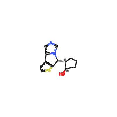 O[C@@H]1CCC[C@H]1C1c2sccc2-c2cncn21